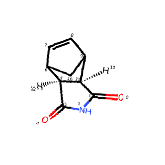 O=C1NC(=O)[C@H]2C3C=CC(C3)[C@@H]12